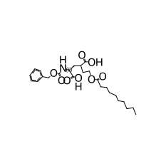 CCCCCCCCCC(=O)OCCC(C[C@H](NC(=O)OCc1ccccc1)C(=O)O)C(=O)O